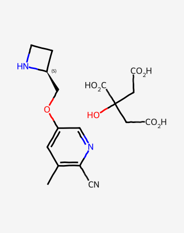 Cc1cc(OC[C@@H]2CCN2)cnc1C#N.O=C(O)CC(O)(CC(=O)O)C(=O)O